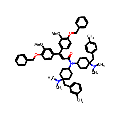 COc1cc(C(=CC(=O)N(C2CCC(Cc3ccc(C)cc3)(N(C)C)CC2)C2CCC(Cc3cccc(C)c3)(N(C)C)CC2)c2ccc(OCc3ccccc3)c(OC)c2)ccc1OCc1ccccc1